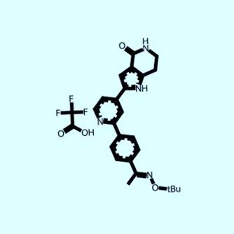 CC(=NOC(C)(C)C)c1ccc(-c2cc(-c3cc4c([nH]3)CCNC4=O)ccn2)cc1.O=C(O)C(F)(F)F